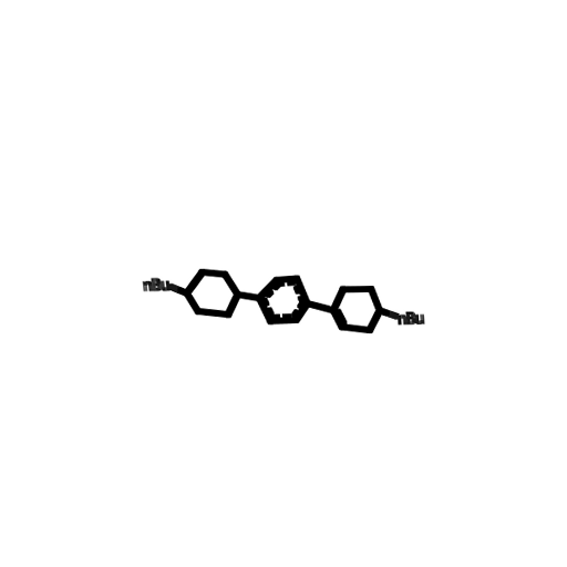 CCCCC1CC=C(c2ccc(C3CCC(CCCC)CC3)cc2)CC1